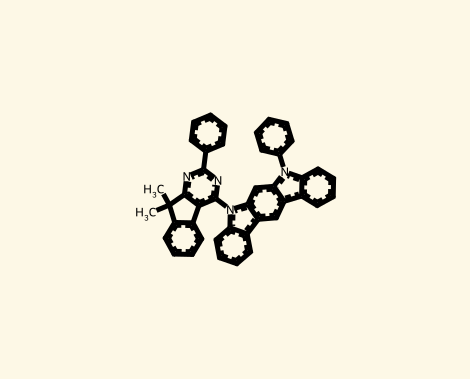 CC1(C)c2ccccc2-c2c(-n3c4ccccc4c4cc5c6ccccc6n(-c6ccccc6)c5cc43)nc(-c3ccccc3)nc21